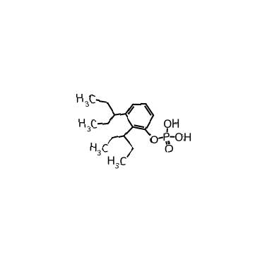 CCC(CC)c1cccc(OP(=O)(O)O)c1C(CC)CC